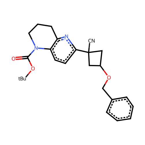 CC(C)(C)OC(=O)N1CCCc2nc(C3(C#N)CC(OCc4ccccc4)C3)ccc21